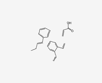 C=CC(=O)O.C=Cc1ccccc1C=C.CCC=Cc1ccccc1